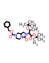 C[C@@H](OC(C)(C)C)[C@@H](C(=O)OC(C)(C)C)N1CC2CN(C(=O)OCc3ccccc3)CCN2C1=O